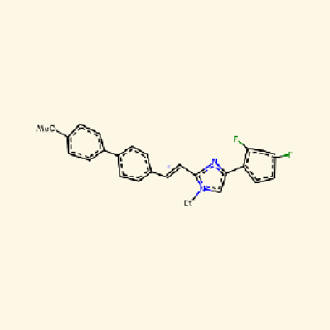 CCn1cc(-c2ccc(F)cc2F)nc1/C=C/c1ccc(-c2ccc(OC)cc2)cc1